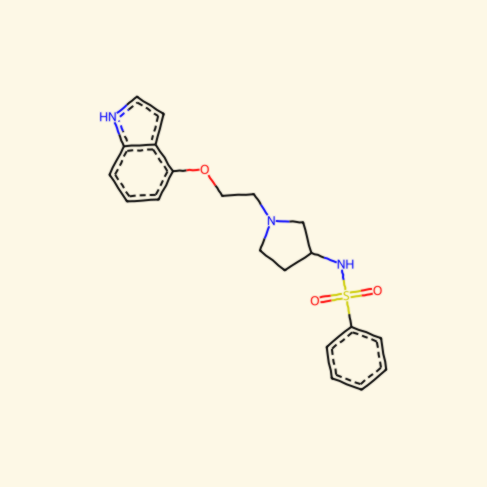 O=S(=O)(NC1CCN(CCOc2cccc3[nH]ccc23)C1)c1ccccc1